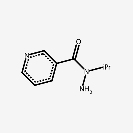 CC(C)N(N)C(=O)c1cccnc1